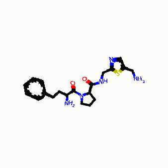 NCc1cnc(CNC(=O)C2CCCN2C(=O)C(N)CCc2ccccc2)s1